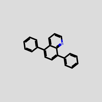 c1ccc(-c2ccc(-c3ccccc3)c3ncccc23)cc1